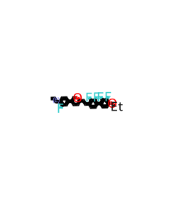 C/C=C/c1ccc(C2CCC(CCc3ccc(-c4ccc(OCC)c(F)c4F)c(F)c3F)OC2)cc1F